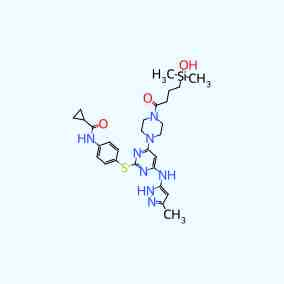 Cc1cc(Nc2cc(N3CCN(C(=O)CCC[Si](C)(C)O)CC3)nc(Sc3ccc(NC(=O)C4CC4)cc3)n2)[nH]n1